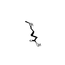 CNCC=CCC(=O)O